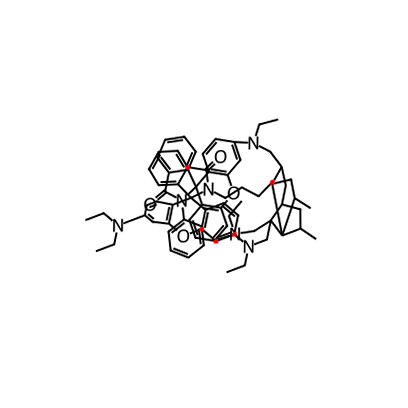 CCCCN1C(=O)c2ccccc2C12c1ccc(N(CC)CC)cc1Oc1cc(N(CC)CC34CN(CC)c5ccc6c(c5)Oc5cc(ccc5C65c6ccccc6C(=O)N5c5ccccc5)N(CC)CC5CC3CC(C)C43C(C)CC53)ccc12